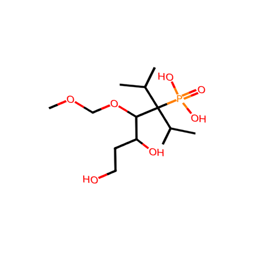 COCOC(C(O)CCO)C(C(C)C)(C(C)C)P(=O)(O)O